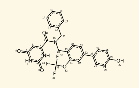 O=C(c1cc(=O)[nH]c(=O)[nH]1)N(Cc1ccccc1)Cc1ccc(-c2ccc(O)nc2)cc1OC(F)(F)F